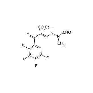 CCOC(=O)C(=CNN(C)C=O)C(=O)c1cc(F)c(F)c(F)c1F